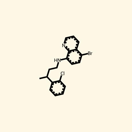 CC(CCNc1ccc(Br)c2cccnc12)c1ccccc1Cl